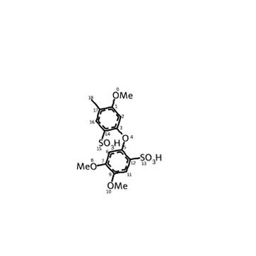 COc1cc(Oc2cc(OC)c(OC)cc2S(=O)(=O)O)c(S(=O)(=O)O)cc1C